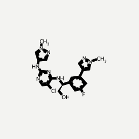 Cn1cc(Nc2ncc(Cl)c(N[C@H](CO)c3cc(F)cc(-c4cnn(C)c4)c3)n2)cn1